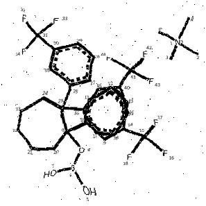 C[N+](C)(C)C.OB(O)OC1(c2cccc(C(F)(F)F)c2)CCCCCC1(c1cccc(C(F)(F)F)c1)c1cccc(C(F)(F)F)c1